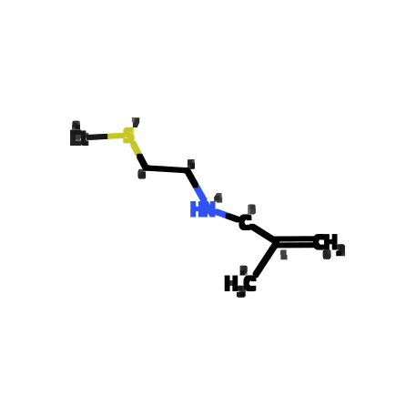 C=C(C)CNCCSCC